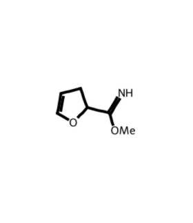 COC(=N)C1CC=CO1